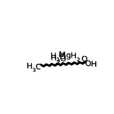 CCCCCCCCCCCCCCCCCC(=O)O.O.O.[MgH2]